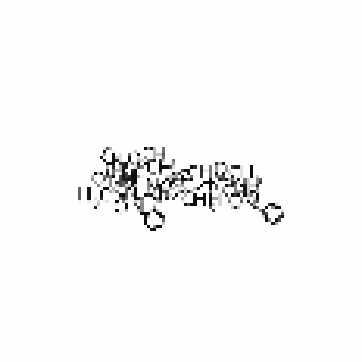 CCOCc1nc2c(NC(=O)[C@H](C)NC(=O)C3CCCN3C(=O)OC(C)(C)C)nc3ccccc3c2n1CC(C)(C)OCCNC(=O)C(C)(C)NC(=O)OCc1ccccc1